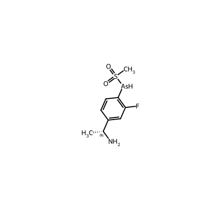 C[C@@H](N)c1ccc([AsH]S(C)(=O)=O)c(F)c1